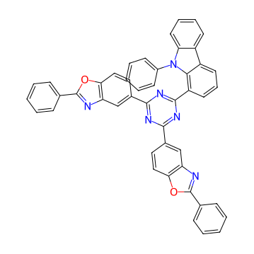 c1ccc(-c2nc3cc(-c4nc(-c5ccc6oc(-c7ccccc7)nc6c5)nc(-c5cccc6c7ccccc7n(-c7ccccc7)c56)n4)ccc3o2)cc1